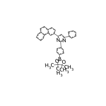 CC1(C)OB(c2ccc(-c3nc(-c4ccccc4)cc(-c4ccc5ccc6ccccc6c5c4)n3)cc2)OC1(C)C